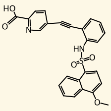 COc1ccc(S(=O)(=O)Nc2ccccc2C#Cc2ccc(C(=O)O)nc2)c2ccccc12